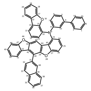 c1ccc(-c2cccc(N(c3cccc4c3oc3ccccc34)c3cccc4oc5c(-c6ccc7ccccc7c6)c6c(cc5c34)oc3ccccc36)c2)cc1